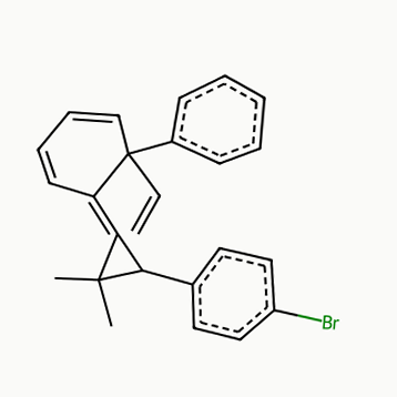 C=CC1(c2ccccc2)C=CC=CC1=C1C(c2ccc(Br)cc2)C1(C)C